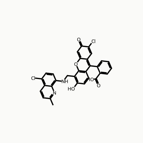 Cc1ccc2c(Cl)ccc(NCc3c(O)ccc4c(-c5ccccc5C(=O)O)c5cc(Cl)c(=O)cc-5oc34)c2n1